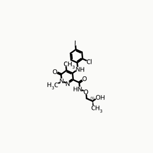 Cc1c(Nc2ccc(I)cc2Cl)c(C(=O)NOC[C@H](C)O)nn(C)c1=O